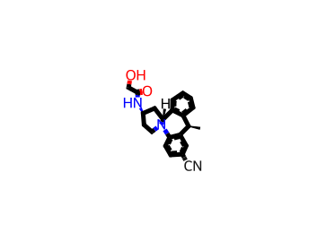 C[C@@H]1c2ccccc2[C@H]2C[C@H](NC(=O)CO)CCN2c2ccc(C#N)cc21